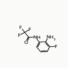 Nc1c(F)cccc1NC(=O)C(F)(F)F